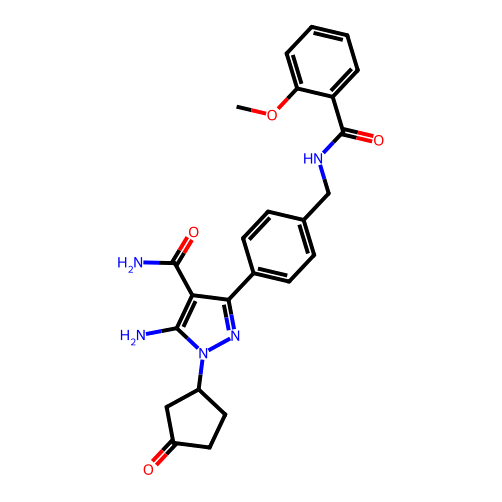 COc1ccccc1C(=O)NCc1ccc(-c2nn(C3CCC(=O)C3)c(N)c2C(N)=O)cc1